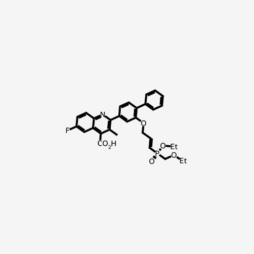 CCOCP(=O)(/C=C/COc1cc(-c2nc3ccc(F)cc3c(C(=O)O)c2C)ccc1-c1ccccc1)OCC